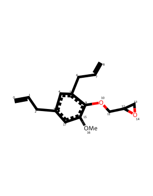 C=CCc1cc(CC=C)c(OCC2CO2)c(OC)c1